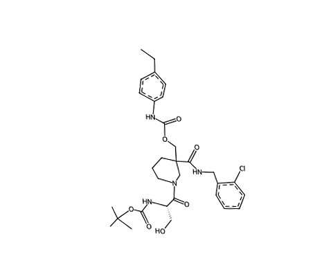 CCc1ccc(NC(=O)OCC2(C(=O)NCc3ccccc3Cl)CCCN(C(=O)[C@H](CO)NC(=O)OC(C)(C)C)C2)cc1